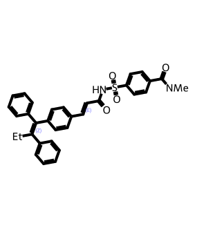 CC/C(=C(\c1ccccc1)c1ccc(/C=C/C(=O)NS(=O)(=O)c2ccc(C(=O)NC)cc2)cc1)c1ccccc1